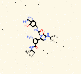 CCC(C)NC(=O)c1cc(N)cc(-c2cnc(NC(C)C)c(=O)n2CC(=O)NCc2ccc(C(=N)N)c(O)c2)c1